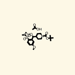 CC(=O)O.COc1ccc(S(=O)(=O)N(C)C)c(C(O)C2CCN(C(=O)OC(C)(C)C)CC2)c1